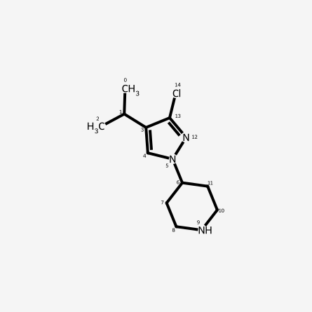 CC(C)c1cn(C2CCNCC2)nc1Cl